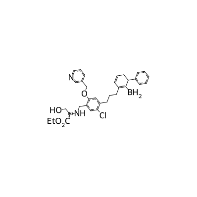 BC1=C(CCCc2cc(OCc3cccnc3)c(CN[C@H](CO)C(=O)OCC)cc2Cl)C=CCC1c1ccccc1